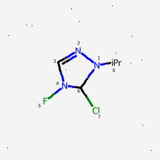 CC(C)N1N=CN(F)C1Cl